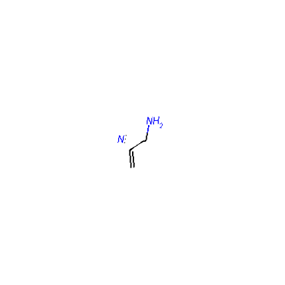 C=CCN.[N]